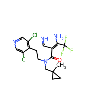 CC1(CN(CCc2c(Cl)cncc2Cl)C(=O)/C(C=N)=C(/N)C(F)(F)F)CC1